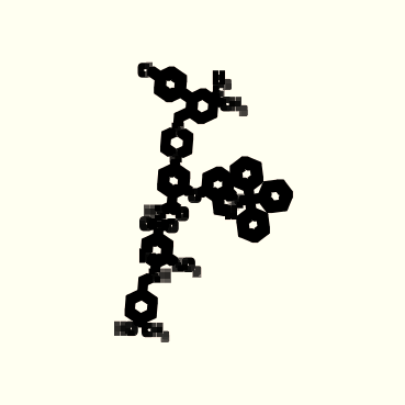 CC1(C)CCC(CN2CCN(c3ccc(C(=O)NS(=O)(=O)c4cnc(NCC5CCC(C)(O)CC5)c([N+](=O)[O-])c4)c(Oc4cccc5c4cnn5C(c4ccccc4)(c4ccccc4)c4ccccc4)c3)CC2)=C(c2ccc(Cl)cc2)C1